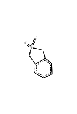 O=S1(=O)Cc2ccccc2O1